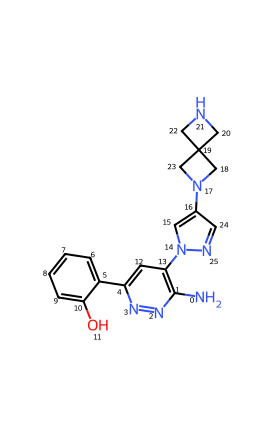 Nc1nnc(-c2ccccc2O)cc1-n1cc(N2CC3(CNC3)C2)cn1